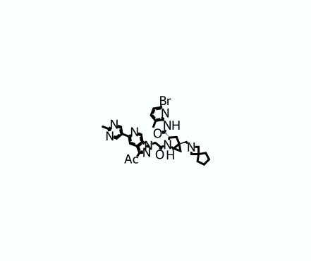 CC(=O)c1nn(CC(=O)N2[C@H]3C[C@@]3(CN3CC4(CCCC4)C3)C[C@H]2C(=O)Nc2nc(Br)ccc2C)c2cnc(-c3cnc(C)nc3)cc12